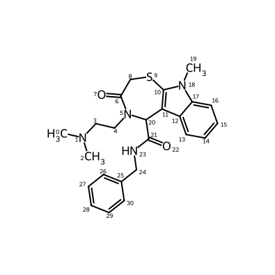 CN(C)CCN1C(=O)CSc2c(c3ccccc3n2C)C1C(=O)NCc1ccccc1